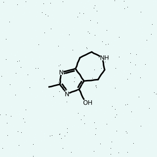 Cc1nc(O)c2c(n1)CCNCC2